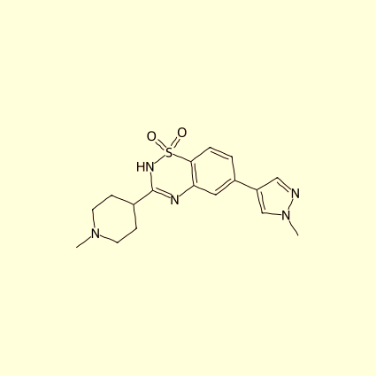 CN1CCC(C2=Nc3cc(-c4cnn(C)c4)ccc3S(=O)(=O)N2)CC1